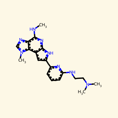 CNc1nc2[nH]c(-c3cccc(NCCN(C)C)n3)cc2c2c1ncn2C